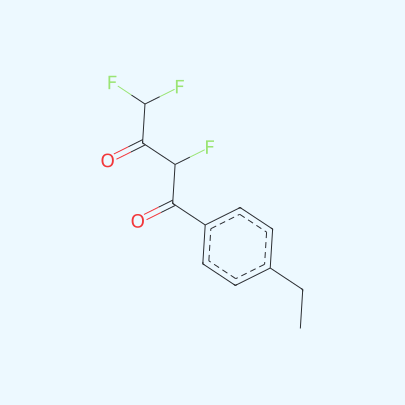 CCc1ccc(C(=O)C(F)C(=O)C(F)F)cc1